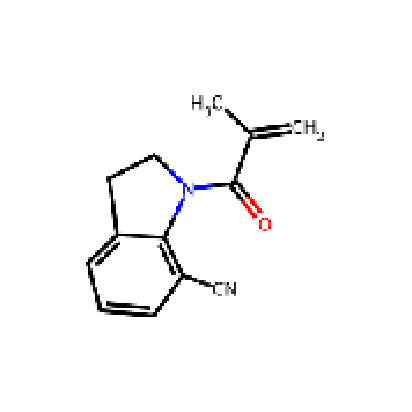 C=C(C)C(=O)N1CCc2cccc(C#N)c21